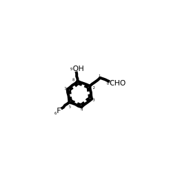 O=CCc1ccc(F)cc1O